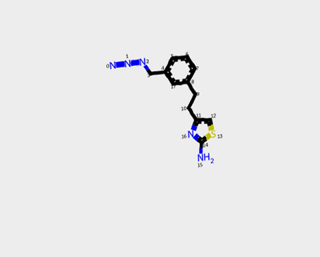 [N-]=[N+]=NCc1cccc(CCc2csc(N)n2)c1